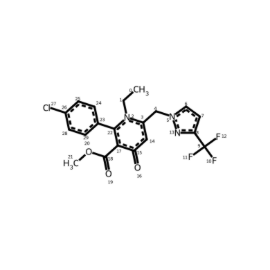 CCn1c(Cn2ccc(C(F)(F)F)n2)cc(=O)c(C(=O)OC)c1-c1ccc(Cl)cc1